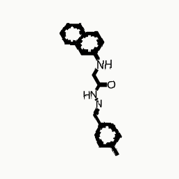 Cc1ccc(/C=N/NC(=O)CNc2ccc3ccccc3c2)cc1